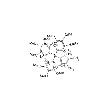 COc1c(C)c([Si](C2=C(C)C(C)=C(C)C2C)(c2c(C)c(OC)c(OC)c(OC)c2C)c2c(C)c(OC)c(OC)c(OC)c2C)c(C)c(OC)c1OC